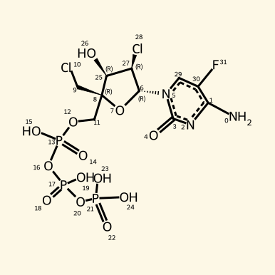 Nc1nc(=O)n([C@@H]2O[C@](CCl)(COP(=O)(O)OP(=O)(O)OP(=O)(O)O)[C@@H](O)[C@H]2Cl)cc1F